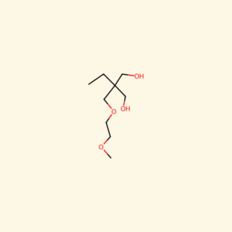 CCC(CO)(CO)COCCOC